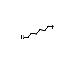 FCCCCC[CH2][U]